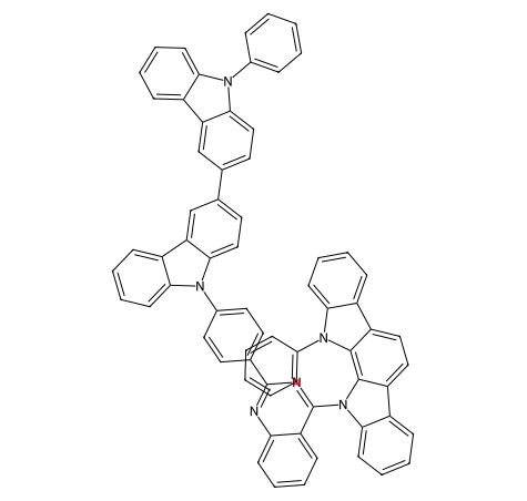 c1ccc(-n2c3ccccc3c3cc(-c4ccc5c(c4)c4ccccc4n5-c4ccc(-c5nc(-n6c7ccccc7c7ccc8c9ccccc9n(-c9ccccc9)c8c76)c6ccccc6n5)cc4)ccc32)cc1